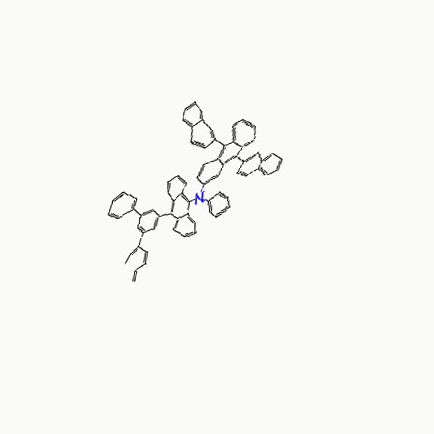 C=C/C=C\C(=C/C)c1cc(-c2ccccc2)cc(-c2c3ccccc3c(N(c3ccccc3)c3ccc4c(-c5ccc6ccccc6c5)c5ccccc5c(-c5ccc6ccccc6c5)c4c3)c3ccccc23)c1